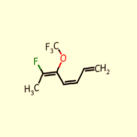 C=C/C=C\C(OC(F)(F)F)=C(/C)F